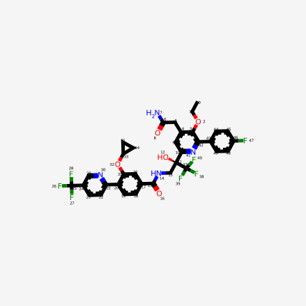 CCOc1c(CC(N)=O)cc([C@@](O)(CNC(=O)c2ccc(-c3ccc(C(F)(F)F)cn3)c(OC3CC3)c2)C(F)(F)F)nc1-c1ccc(F)cc1